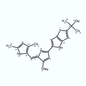 COC1=CC(c2cc3sc(C(C)(C)O)cc3[nH]2)=N/C1=C\c1[nH]c(C)cc1C